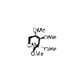 COC[C@H](OC)[C@@H](OC)[C@@H](COC)OC